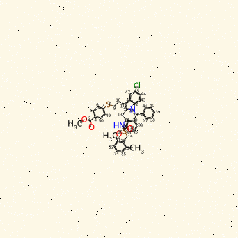 COC(=O)c1ccc(SCCc2c(CCNS(=O)(=O)Cc3c(C)cccc3C)n(C(c3ccccc3)c3ccccc3)c3ccc(Cl)cc23)cc1